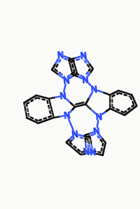 c1ccc2c(c1)N(n1ccnc1)C(=C1N(n3ccnc3)c3ccccc3N1n1ccnc1)N2n1ccnc1